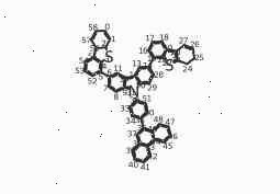 C1=CC2Sc3c(-c4ccc5c(c4)c4cc(-c6cccc7c8c(sc67)CCC=C8)ccc4n5-c4ccc(-c5cc6ccccc6c6ccccc56)cc4)cccc3C2C=C1